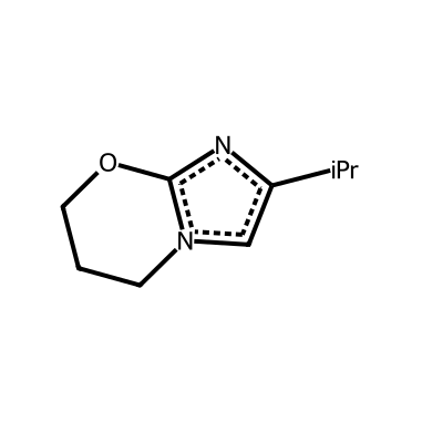 CC(C)c1cn2c(n1)OCCC2